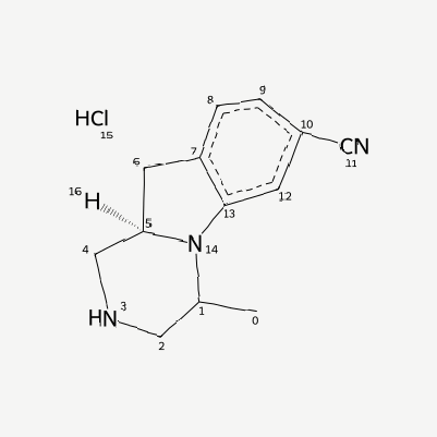 CC1CNC[C@H]2Cc3ccc(C#N)cc3N12.Cl